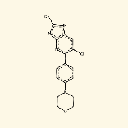 O=Nc1nc2nc(-c3ccc(N4CCOCC4)cc3)c(Cl)cc2[nH]1